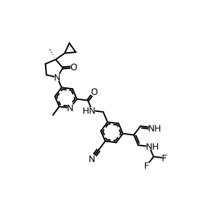 Cc1cc(N2CC[C@@](C)(C3CC3)C2=O)cc(C(=O)NCc2cc(C#N)cc(/C(C=N)=C/NC(F)F)c2)n1